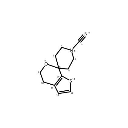 N#CN1CCC2(CC1)OCCc1ccsc12